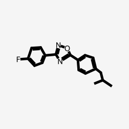 CC(C)Cc1ccc(-c2nc(-c3ccc(F)cc3)no2)cc1